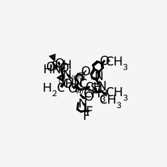 C=C[C@@H]1CC1(NC(=O)[C@@H]1C[C@@H](Oc2cc(-c3nc(C(C)C)cs3)nc3cc(OC)ccc23)CN1C(=O)[C@@H](CC(=O)N1CCCC(F)(F)C1)C(C)(C)C)C(=O)NS(=O)(=O)C1CC1